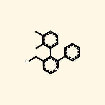 Cc1cccc(-c2c(CO)ccnc2-c2ccccc2)c1C